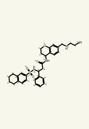 CC(C)CCNCc1ccc2c(c1)OCCC2NC(=O)CC(NS(=O)(=O)c1ccc2c(c1)CCCC2)c1ccccc1